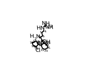 N=C(N)NCCCC(N)C1=N[C@@]2(c3ccccc3Cl)CCC[C@@H](O1)C2=O